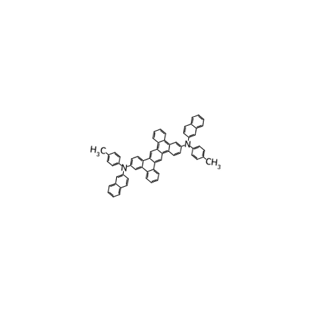 Cc1ccc(N(c2ccc3ccccc3c2)c2ccc3c(c2)c2ccccc2c2cc4c5ccc(N(c6ccc(C)cc6)c6ccc7ccccc7c6)cc5c5ccccc5c4cc32)cc1